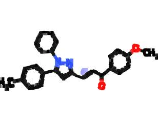 COc1ccc(C(=O)/C=C/c2cc(-c3ccc(C)cc3)n(-c3ccccc3)n2)cc1